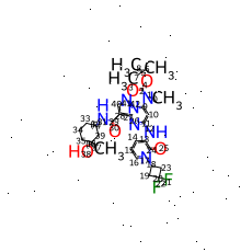 CN(C(=O)OC(C)(C)C)c1cc(Nc2cccn(C3CC(F)(F)C3)c2=O)nc2c(C(=O)N[C@@H]3CCC[C@@](C)(O)C3)cnn12